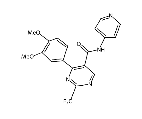 COc1ccc(-c2nc(C(F)(F)F)ncc2C(=O)Nc2ccncc2)cc1OC